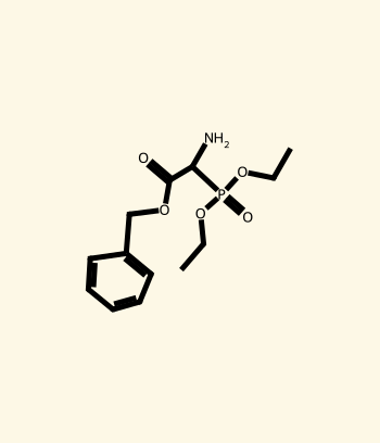 CCOP(=O)(OCC)C(N)C(=O)OCc1ccccc1